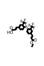 CCOC(=O)C=Cc1ccc(Sc2ccc(C=CC(=O)O)cc2C(F)(F)F)c(C(F)(F)F)c1